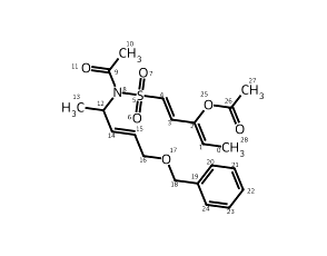 CC=C(C=CS(=O)(=O)N(C(C)=O)C(C)C=CCOCc1ccccc1)OC(C)=O